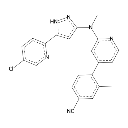 Cc1cc(C#N)ccc1-c1ccnc(N(C)c2cc(-c3ccc(Cl)cn3)[nH]n2)c1